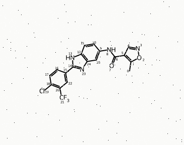 Cc1oncc1C(=O)Nc1ccc2[nH]c(-c3ccc(Cl)c(C(F)(F)F)c3)nc2c1